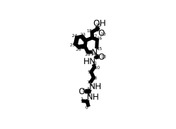 CC(C)NC(=O)NCCCCNC(=O)N1CCC(CC(=O)O)c2ccccc2C1